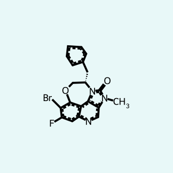 Cn1c(=O)n2c3c4c(c(Br)c(F)cc4ncc31)OC[C@@H]2Cc1ccccc1